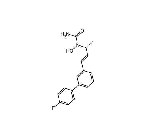 C[C@H](/C=C/c1cccc(-c2ccc(F)cc2)c1)N(O)C(N)=O